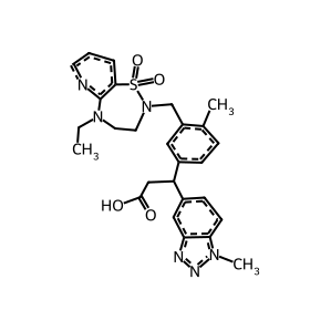 CCN1CCN(Cc2cc(C(CC(=O)O)c3ccc4c(c3)nnn4C)ccc2C)S(=O)(=O)c2cccnc21